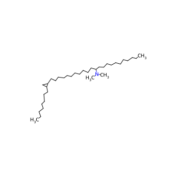 CCCCCCCCCCCC(CCCCCCCCCCCC1CC1CCCCCCCC)N(C)C